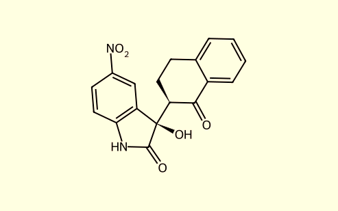 O=C1c2ccccc2CC[C@@H]1[C@]1(O)C(=O)Nc2ccc([N+](=O)[O-])cc21